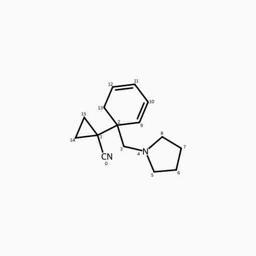 N#CC1(C2(CN3CCCC3)C=CC=CC2)CC1